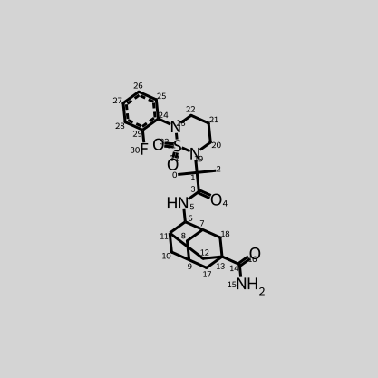 CC(C)(C(=O)NC1C2CC3CC1CC(C(N)=O)(C3)C2)N1CCCN(c2ccccc2F)S1(=O)=O